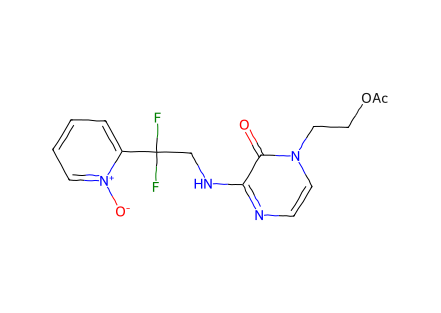 CC(=O)OCCn1ccnc(NCC(F)(F)c2cccc[n+]2[O-])c1=O